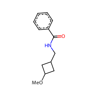 COC1CC(CNC(=O)c2ccccc2)C1